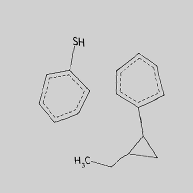 CCC1CC1c1ccccc1.Sc1ccccc1